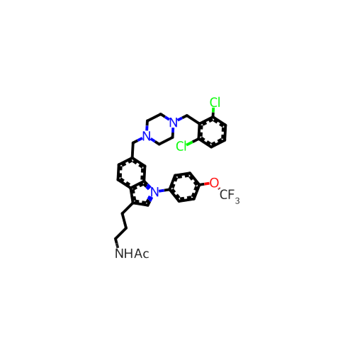 CC(=O)NCCCc1cn(-c2ccc(OC(F)(F)F)cc2)c2cc(CN3CCN(Cc4c(Cl)cccc4Cl)CC3)ccc12